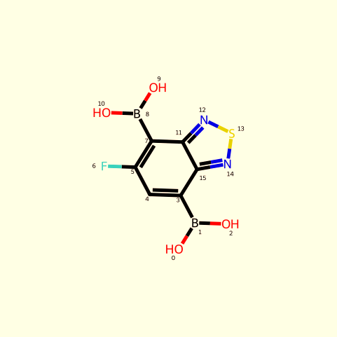 OB(O)c1cc(F)c(B(O)O)c2nsnc12